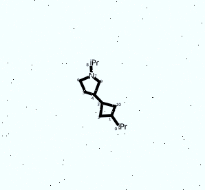 CC(C)C1CC(C2CCN(C(C)C)C2)C1